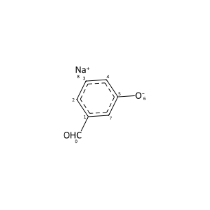 O=Cc1cccc([O-])c1.[Na+]